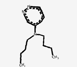 CCCCN(CCCC)c1[c]nncc1